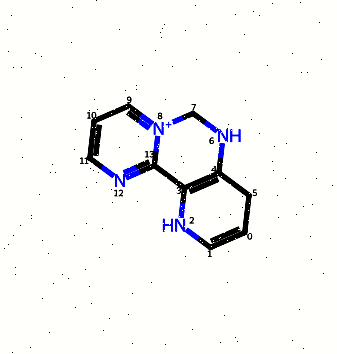 C1=CNC2=C(C1)NC[n+]1cccnc12